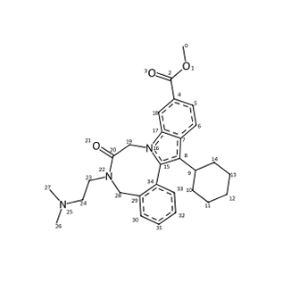 COC(=O)c1ccc2c(C3CCCCC3)c3n(c2c1)CC(=O)N(CCN(C)C)Cc1ccccc1-3